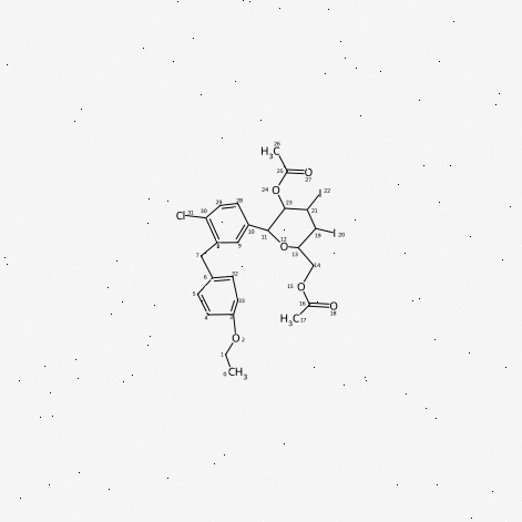 CCOc1ccc(Cc2cc(C3OC(COC(C)=O)C(I)C(I)C3OC(C)=O)ccc2Cl)cc1